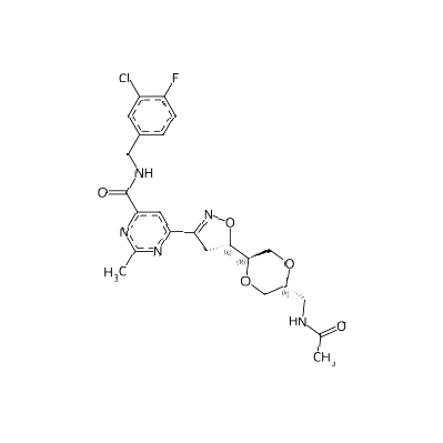 CC(=O)NC[C@@H]1CO[C@@H]([C@@H]2CC(c3cc(C(=O)NCc4ccc(F)c(Cl)c4)nc(C)n3)=NO2)CO1